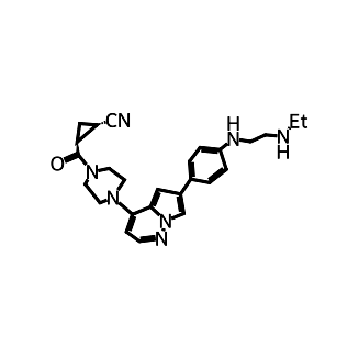 CCNCCNc1ccc(-c2cc3c(N4CCN(C(=O)[C@H]5C[C@@H]5C#N)CC4)ccnn3c2)cc1